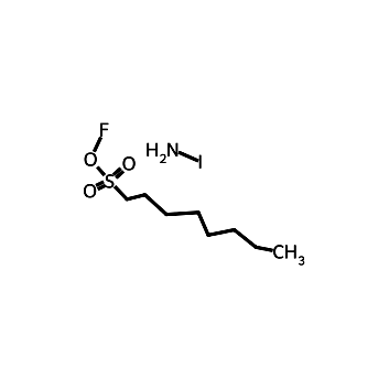 CCCCCCCCS(=O)(=O)OF.NI